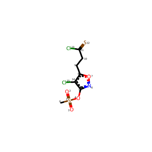 CS(=O)(=O)Oc1noc(CCC(=S)Cl)c1Cl